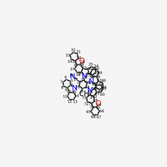 Cc1c(-n2c3ccccc3c3ccccc32)c(C#N)c(-n2c3ccccc3c3c4oc5ccccc5c4ccc32)c(-n2c3ccccc3c3ccccc32)c1-n1c2ccccc2c2c3oc4ccccc4c3ccc21